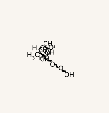 CC(C)C(=O)O.CC(C)C(=O)O.OCCOCCOCCO